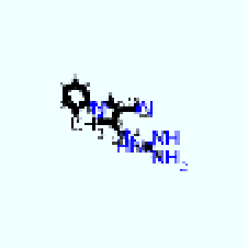 Cc1ccccc1-n1cc(C#N)c(/C=N/NC(=N)N)c1